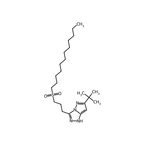 CCCCCCCCCCCCS(=O)(=O)CCCc1n[nH]c2cc(C(C)(C)C)nn12